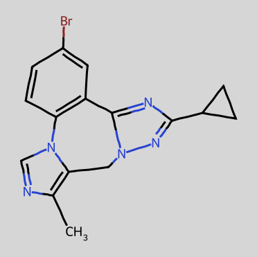 Cc1ncn2c1Cn1nc(C3CC3)nc1-c1cc(Br)ccc1-2